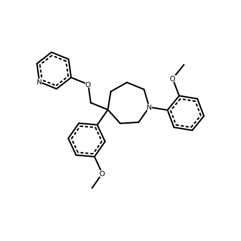 COc1cccc(C2(COc3cccnc3)CCCN(c3ccccc3OC)CC2)c1